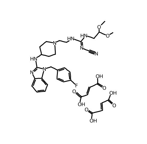 COC(CNC(=NC#N)NCCN1CCC(Nc2nc3ccccc3n2Cc2ccc(F)cc2)CC1)OC.O=C(O)C=CC(=O)O.O=C(O)C=CC(=O)O